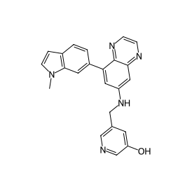 Cn1ccc2ccc(-c3cc(NCc4cncc(O)c4)cc4nccnc34)cc21